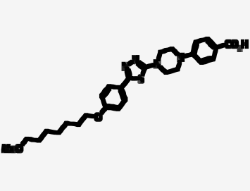 COCCCCCCCOc1ccc(-c2nnc(N3CCN(c4ccc(C(=O)O)cc4)CC3)s2)cc1